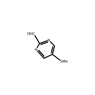 CSc1cnc(C=O)nc1